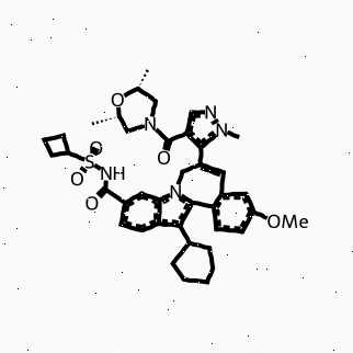 COc1ccc2c(c1)C=C(c1c(C(=O)N3C[C@@H](C)O[C@@H](C)C3)cnn1C)Cn1c-2c(C2CCCCC2)c2ccc(C(=O)NS(=O)(=O)C3CCC3)cc21